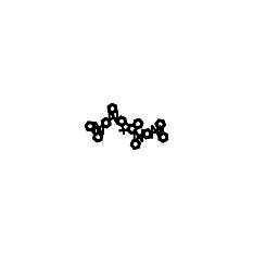 CC1(C)c2cc(N(c3ccccc3)c3ccc(-n4c5ccccc5c5ccccc54)cc3)ccc2-c2c1cc(N(c1ccccc1)c1ccc(-n3c4ccccc4c4ccccc43)cc1)c1ccccc21